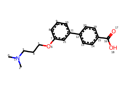 CN(C)CCCOc1cccc(-c2ccc(C(=O)O)cc2)c1